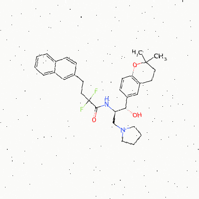 CC1(C)CCc2cc([C@H](O)[C@@H](CN3CCCC3)NC(=O)C(F)(F)CCc3ccc4ccccc4c3)ccc2O1